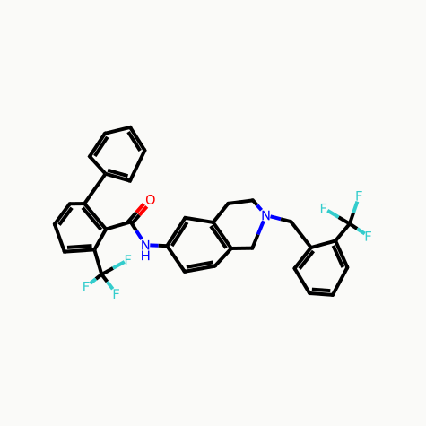 O=C(Nc1ccc2c(c1)CCN(Cc1ccccc1C(F)(F)F)C2)c1c(-c2ccccc2)cccc1C(F)(F)F